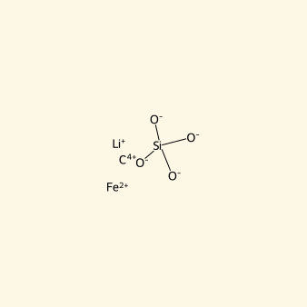 [C+4].[Fe+2].[Li+].[O-][Si]([O-])([O-])[O-]